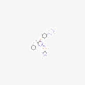 Cc1cccc(C)c1-c1nc(NS(=O)(=O)c2cnn(C)c2)nc(Oc2ccc(N3CCN(C)CC3)cc2)c1C